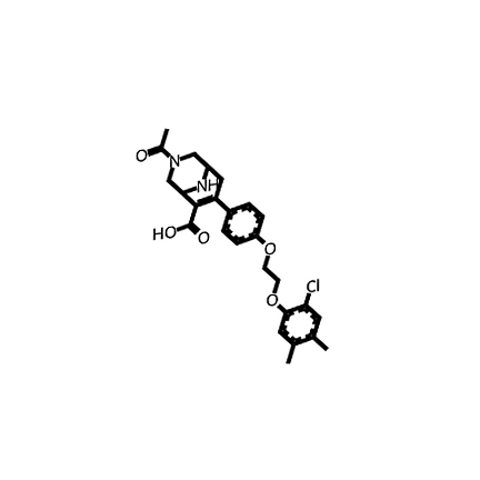 CC(=O)N1CC2CC(c3ccc(OCCOc4cc(C)c(C)cc4Cl)cc3)=C(C(=O)O)C(C1)N2